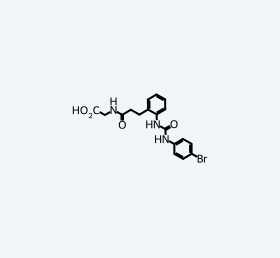 O=C(O)CNC(=O)CCc1ccccc1NC(=O)Nc1ccc(Br)cc1